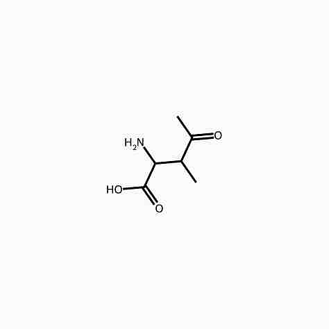 CC(=O)C(C)C(N)C(=O)O